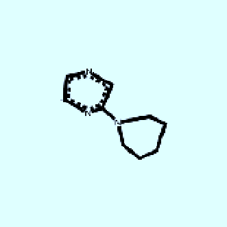 [c]1cncc(N2CCCCC2)n1